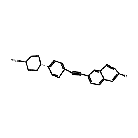 CCCCCCCC[C@H]1CC[C@H](c2ccc(C#Cc3ccc4cc(CC)ccc4c3)cc2)CC1